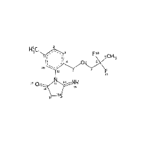 Cc1ccc(COCC(C)(F)F)c(N2C(=N)SCC2=O)c1